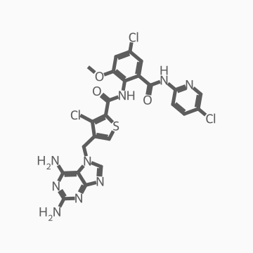 COc1cc(Cl)cc(C(=O)Nc2ccc(Cl)cn2)c1NC(=O)c1scc(Cn2cnc3nc(N)nc(N)c32)c1Cl